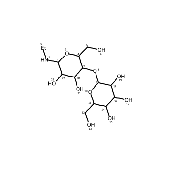 CCNC1OC(CO)C(OC2OC(CO)C(O)C(O)C2O)C(O)C1O